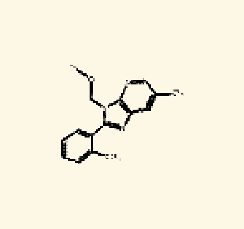 CCOCn1c(-c2ccccc2C)nc2cc(C(F)(F)F)cnc21